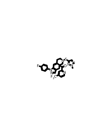 Cn1ncc(SN2CCC3=Cc4c(cnn4-c4ccc(F)cc4)CC3(C(=O)c3cc(C(F)(F)F)ccn3)C2)n1